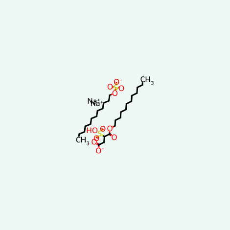 CCCCCCCCCCCCOC(=O)C(CC(=O)[O-])S(=O)(=O)O.CCCCCCCCCCCCOS(=O)(=O)[O-].[Na+].[Na+]